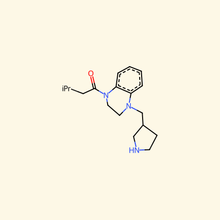 CC(C)CC(=O)N1CCN(CC2CCNC2)c2ccccc21